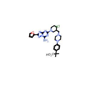 CC(C)(C(=O)O)c1ccc(N2CCN(CC3CCCN(c4nc(N)n5nc(-c6ccco6)nc5n4)C3)CC2)cc1.Cl